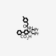 Cc1ccc(CC(=O)Nc2cc(-c3ccccc3C(=O)O)ccc2N(CC(C)C)CC(C)C)cc1